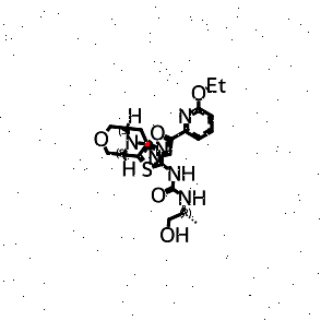 CCOc1cccc(-c2cnc(N3[C@@H]4COC[C@H]3c3sc(NC(=O)N[C@H](C)CO)nc3C4)o2)n1